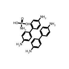 NP(=O)(O)O.Nc1ccc(-c2ccc(N)cc2)cc1.Nc1ccc(-c2ccc(N)cc2)cc1